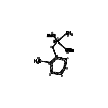 CO[PH](C)(Cc1ccccc1C)OC